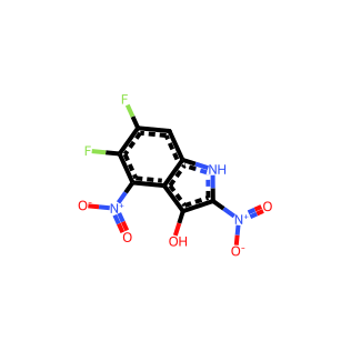 O=[N+]([O-])c1[nH]c2cc(F)c(F)c([N+](=O)[O-])c2c1O